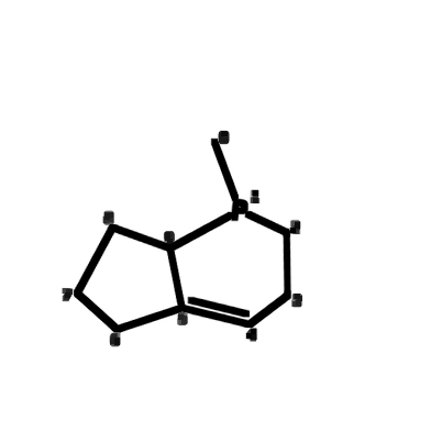 CP1CCC=C2CCCC21